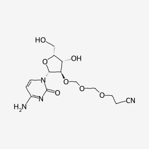 N#CCCOCOCO[C@@H]1[C@@H](O)[C@@H](CO)O[C@H]1n1ccc(N)nc1=O